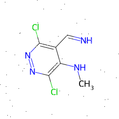 CNc1c(Cl)nnc(Cl)c1C=N